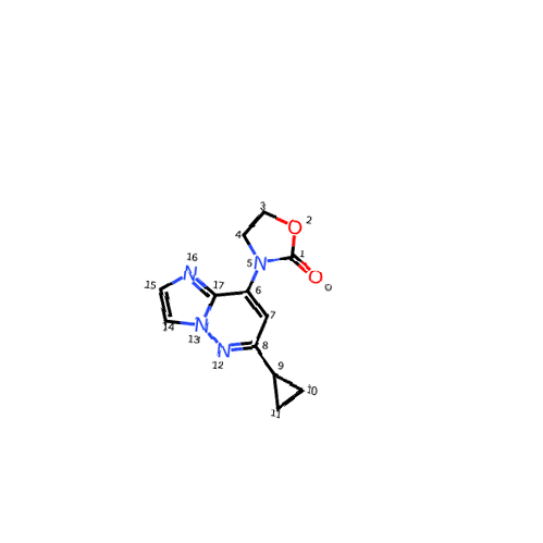 O=C1OCCN1c1cc(C2CC2)nn2ccnc12